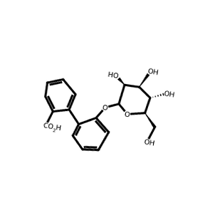 O=C(O)c1ccccc1-c1ccccc1OC1O[C@H](CO)[C@@H](O)[C@H](O)[C@@H]1O